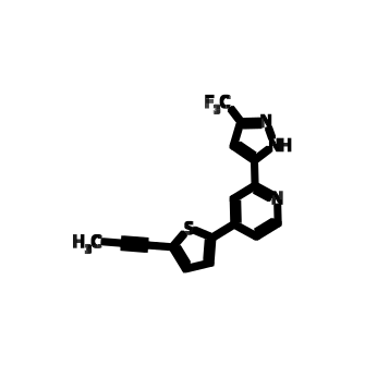 CC#Cc1ccc(-c2ccnc(-c3cc(C(F)(F)F)n[nH]3)c2)s1